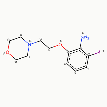 Nc1c(I)cccc1OCCN1CCOCC1